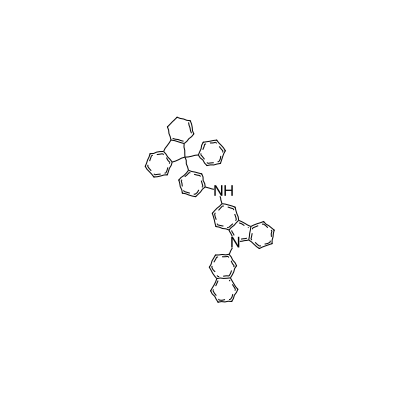 C1=CC2=C(CC1)c1ccccc1C2(c1ccccc1)c1cccc(Nc2ccc3c(c2)c2ccccc2n3-c2ccc3ccccc3c2)c1